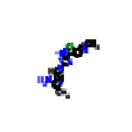 Cc1ccc([C@]2(CN)[C@@H]3CN(c4cnc5c(-c6ccc7nn(C)cc7c6Cl)n[nH]c5n4)C[C@@H]32)nc1